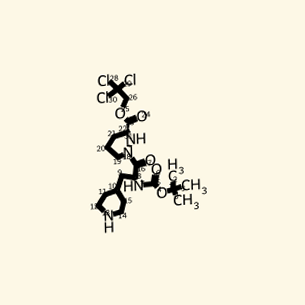 CC(C)(C)OC(=O)NC(CC1CCNCC1)C(=O)N1CCC[C@@H](C(=O)OCC(Cl)(Cl)Cl)N1